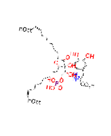 CCCCCCCC/C=C\CCCCCCCC(=O)C(O)(C(=O)CCCCCCC/C=C\CCCCCCCC)[C@@H](O)COP(=O)(O)O.N[C@@H](Cc1ccc(O)c(O)c1)C(=O)O